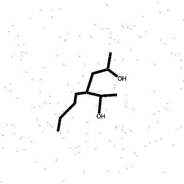 CCCCC(CC(C)O)C(C)O